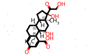 C[C@@]12C(=CC(=O)C=C1C(=O)O)CC[C@@H]1[C@@H]2[C@@H](O)C[C@@]2(C)[C@H]1CC[C@]2(O)C(=O)CO